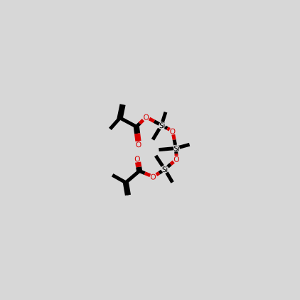 C=C(C)C(=O)O[Si](C)(C)O[Si](C)(C)O[Si](C)(C)OC(=O)C(=C)C